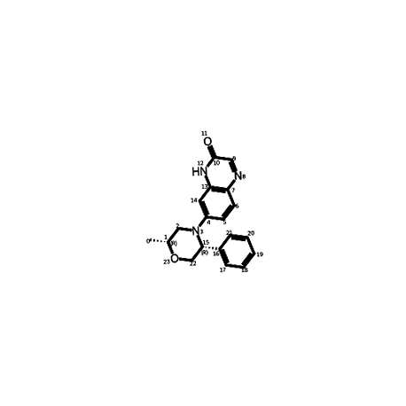 C[C@@H]1CN(c2ccc3ncc(=O)[nH]c3c2)[C@H](c2ccccc2)CO1